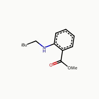 CCC(C)CNc1ccccc1C(=O)OC